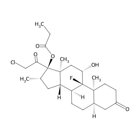 CCC(=O)O[C@]1(C(=O)CCl)[C@@H](C)C[C@H]2[C@@H]3CC[C@@H]4CC(=O)CC[C@]4(C)[C@@]3(F)[C@@H](O)C[C@@]21C